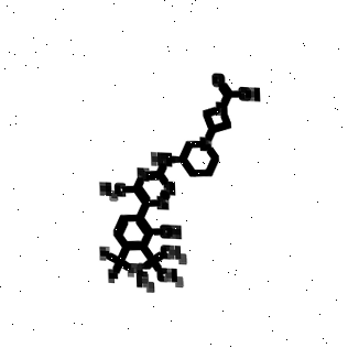 Cc1nc(N[C@@H]2CCCN(C3CN(C(=O)O)C3)C2)nnc1-c1ccc(C(F)(F)F)c(C(C)(C)C)c1O